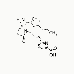 CCCCCC(C)C(N)[C@H]1CCC(=O)N1CCSc1nc(C(=O)O)cs1